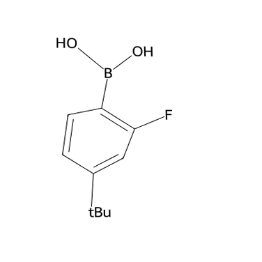 CC(C)(C)c1ccc(B(O)O)c(F)c1